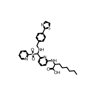 CCCCCCC(Nc1cccc(C(NCc2ccc(-c3nccs3)cc2)S(=O)(=O)c2ccccn2)n1)C(=O)O